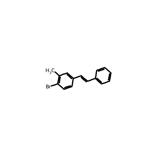 Cc1cc(C=Cc2ccccc2)ccc1Br